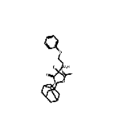 CC(OCCOc1ccccc1)OCC12CC3CC(C1)C(OC(=O)C(F)(F)S(=O)(=O)O)C(C3)C2